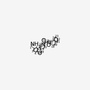 NCc1ccc2c(c1)C1(CCN(C(=O)c3ccc(/C=C\c4ccccc4)o3)CC1)CO2